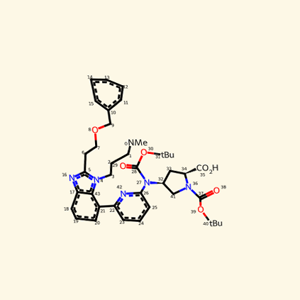 CNCCCn1c(CCOCc2ccccc2)nc2cccc(-c3cccc(N(C(=O)OC(C)(C)C)[C@H]4C[C@@H](C(=O)O)N(C(=O)OC(C)(C)C)C4)n3)c21